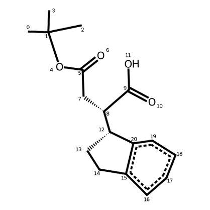 CC(C)(C)OC(=O)C[C@H](C(=O)O)[C@H]1CCc2ccccc21